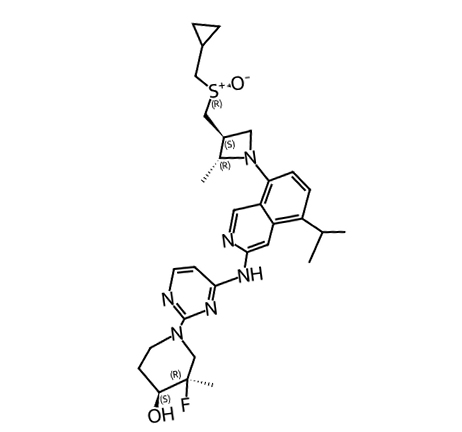 CC(C)c1ccc(N2C[C@H](C[S@@+]([O-])CC3CC3)[C@H]2C)c2cnc(Nc3ccnc(N4CC[C@H](O)[C@](C)(F)C4)n3)cc12